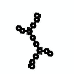 c1ccc2cc(-c3nc(-c4ccc(-c5ccc(-c6cc(-c7ccc(-c8ccc9ncccc9c8)cc7)nc(-c7ccc8ccccc8c7)n6)cc5)cc4)cc(-c4ccc(-c5ccc6ncccc6c5)cc4)n3)ccc2c1